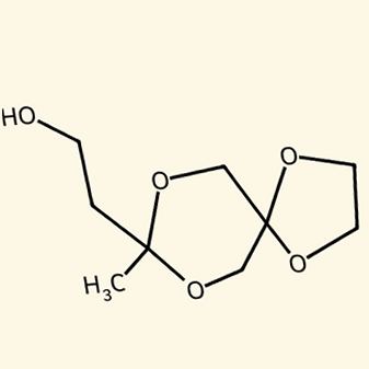 CC1(CCO)OCC2(CO1)OCCO2